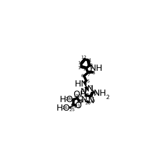 Nc1nc(NCCc2c[nH]c3ccccc23)nc2c1ncn2[C@@H]1O[C@H](CO)C(O)C1O